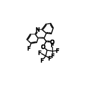 O=C(OC(C(F)(F)F)C(F)(F)F)c1c2ccccc2nc2ccc(F)cc12